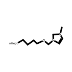 CCCCCCCCCCCOCN1C=CN(C)C1